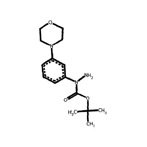 CC(C)(C)OC(=O)N(N)c1cccc(N2CCOCC2)c1